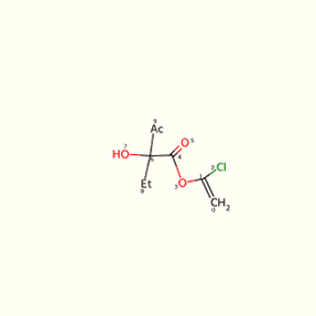 C=C(Cl)OC(=O)C(O)(CC)C(C)=O